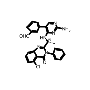 C[C@@H](Nc1nc(N)ncc1-c1cccc(C=O)c1)c1nc2cccc(Cl)c2c(=O)n1-c1ccccc1